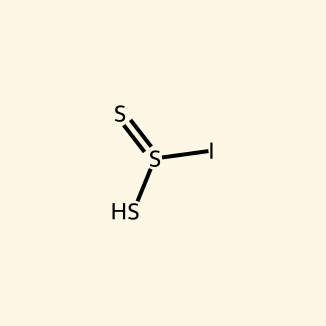 S=S(S)I